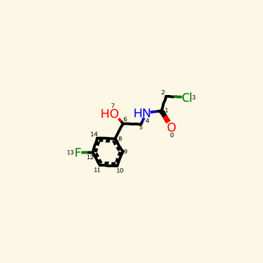 O=C(CCl)NCC(O)c1cccc(F)c1